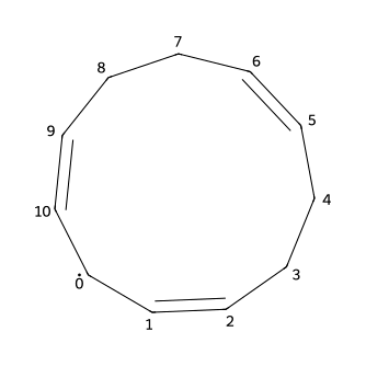 [CH]1C=CCCC=CCCC=C1